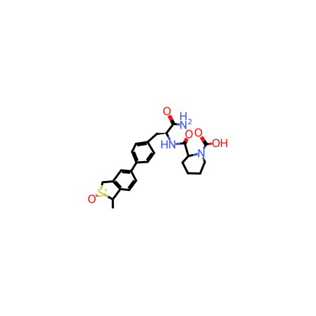 CC1c2ccc(-c3ccc(C[C@H](NC(=O)C4CCCCN4C(=O)O)C(N)=O)cc3)cc2C[S+]1[O-]